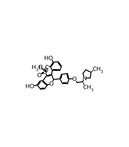 Cc1c(O)cccc1C1=C(S(C)(=O)=O)c2cc(O)ccc2OC1c1ccc(OC[C@H](C)N2CC[C@@H](C)C2)cc1